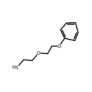 SCCOCCOc1ccccc1